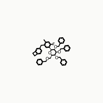 Cc1cc(F)c([C@@H]2O[C@H](COCc3ccccc3)[C@@H](OCc3ccccc3)[C@H](OCc3ccccc3)[C@H]2OCc2ccccc2)cc1Cc1ccc2c(c1)CC2